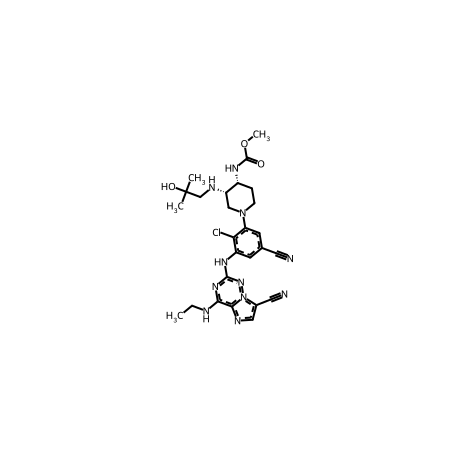 CCNc1nc(Nc2cc(C#N)cc(N3CC[C@@H](NC(=O)OC)[C@@H](NCC(C)(C)O)C3)c2Cl)nn2c(C#N)cnc12